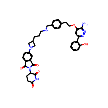 Nc1nnc(-c2ccccc2O)cc1OCCc1ccc(CNCCCC2CN(c3ccc4c(c3)C(=O)N(C3CCC(=O)NC3=O)C4=O)C2)cc1